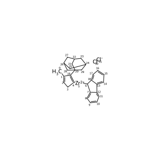 CC1=CC[C]([Zr+2][CH]2c3ccccc3-c3ccccc32)=C1C12CC3CC(CC(C3)C1)C2.[Cl-].[Cl-]